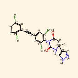 CN1C(=O)N(c2c(F)cc(C#Cc3cc(F)ccc3F)cc2F)C(=O)C[C@@]1(C)c1cnn(C)c1